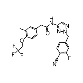 Cc1cc(CC(=O)Nc2cnn(Cc3ccc(C#N)c(F)c3)n2)ccc1OCC(F)(F)F